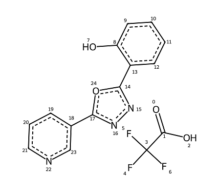 O=C(O)C(F)(F)F.Oc1ccccc1-c1nnc(-c2cccnc2)o1